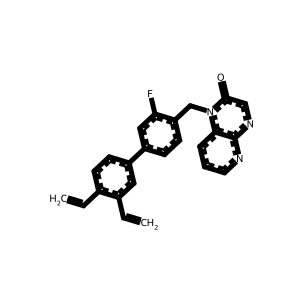 C=Cc1ccc(-c2ccc(Cn3c(=O)cnc4ncccc43)c(F)c2)cc1C=C